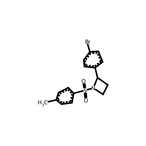 Cc1ccc(S(=O)(=O)N2CCC2c2ccc(Br)cc2)cc1